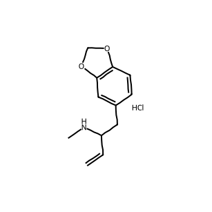 C=CC(Cc1ccc2c(c1)OCO2)NC.Cl